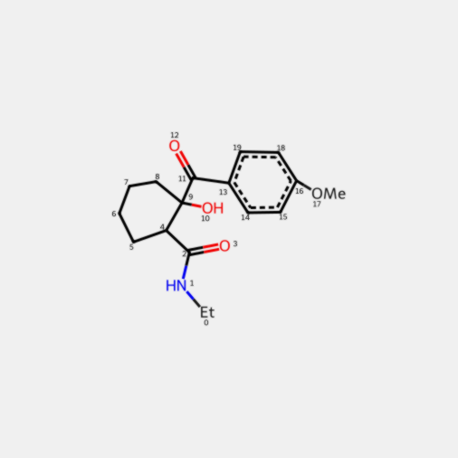 CCNC(=O)C1CCCCC1(O)C(=O)c1ccc(OC)cc1